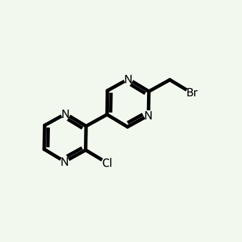 Clc1nccnc1-c1cnc(CBr)nc1